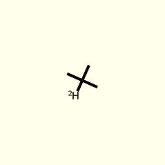 [2H]C(C)(C)C